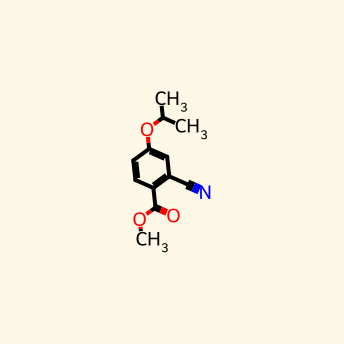 COC(=O)c1ccc(OC(C)C)cc1C#N